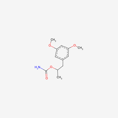 COc1cc(CC(C)OC(N)=O)cc(OC)c1